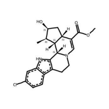 COC(=O)C1=CN2CCc3c([nH]c4cc(Cl)ccc34)[C@@H]2[C@@H]2[C@@H](C)[C@@H](O)C[C@H]12